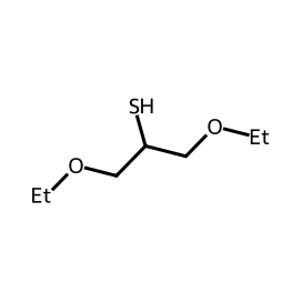 CCOCC(S)COCC